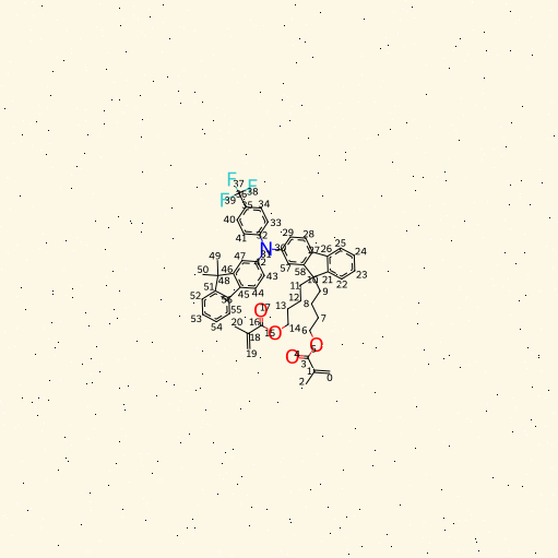 C=C(C)C(=O)OCCCCC1(CCCCOC(=O)C(=C)C)c2ccccc2-c2ccc(N(c3ccc(C(F)(F)F)cc3)c3ccc4c(c3)C(C)(C)c3ccccc3-4)cc21